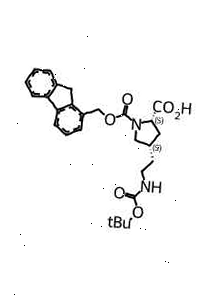 CC(C)(C)OC(=O)NCC[C@H]1C[C@@H](C(=O)O)N(C(=O)OCc2cccc3c2Cc2ccccc2-3)C1